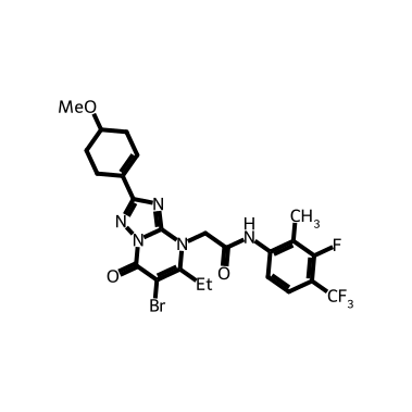 CCc1c(Br)c(=O)n2nc(C3=CCC(OC)CC3)nc2n1CC(=O)Nc1ccc(C(F)(F)F)c(F)c1C